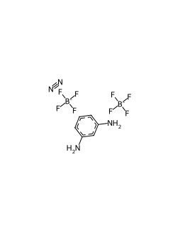 F[B-](F)(F)F.F[B-](F)(F)F.N#N.Nc1cccc(N)c1